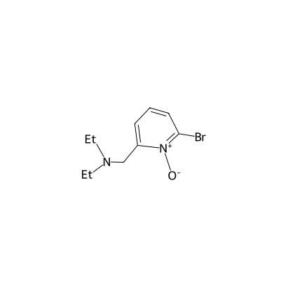 CCN(CC)Cc1cccc(Br)[n+]1[O-]